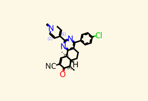 C=N/C=C\C(=C/C)c1nc(-c2ccc(Cl)cc2)c2c(n1)[C@]1(C)C=C(C#N)C(=O)[C@H](C)[C@H]1CC2